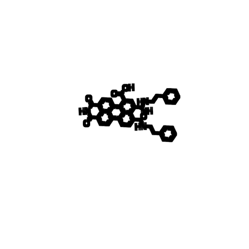 N=C(NCCc1ccccc1)c1cc(C(=O)O)c2c3ccc4c5c(ccc(c6ccc(C(=O)NCCc7ccccc7)c1c62)c53)C(=O)NC4=O